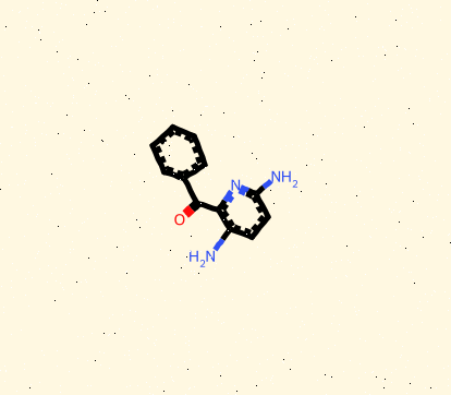 Nc1ccc(N)c(C(=O)c2ccccc2)n1